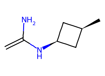 C=C(N)N[C@H]1C[C@@H](C)C1